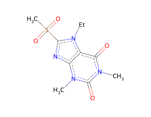 CCn1c(S(C)(=O)=O)nc2c1c(=O)n(C)c(=O)n2C